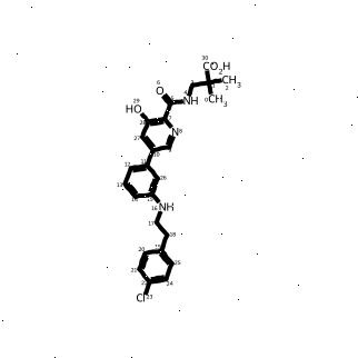 CC(C)(CNC(=O)c1ncc(-c2cccc(NCCc3ccc(Cl)cc3)c2)cc1O)C(=O)O